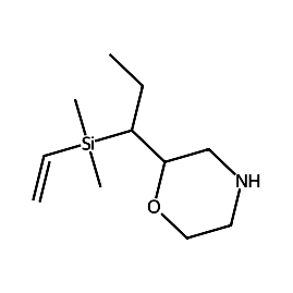 C=C[Si](C)(C)C(CC)C1CNCCO1